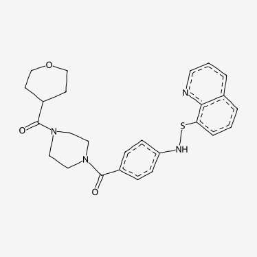 O=C(c1ccc(NSc2cccc3cccnc23)cc1)N1CCN(C(=O)C2CCOCC2)CC1